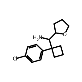 NC(C1CCCO1)C1(c2ccc(Cl)cc2)CCC1